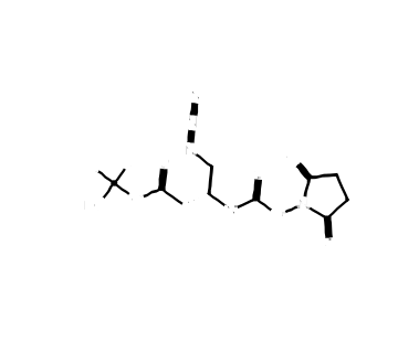 CC(C)(C)OC(=O)C[C@H](CN=[N+]=[N-])NC(=O)ON1C(=O)CCC1=O